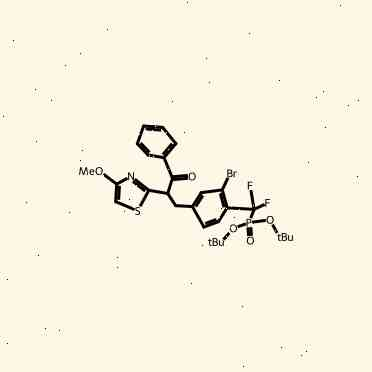 COc1csc(C(Cc2ccc(C(F)(F)P(=O)(OC(C)(C)C)OC(C)(C)C)c(Br)c2)C(=O)c2ccccc2)n1